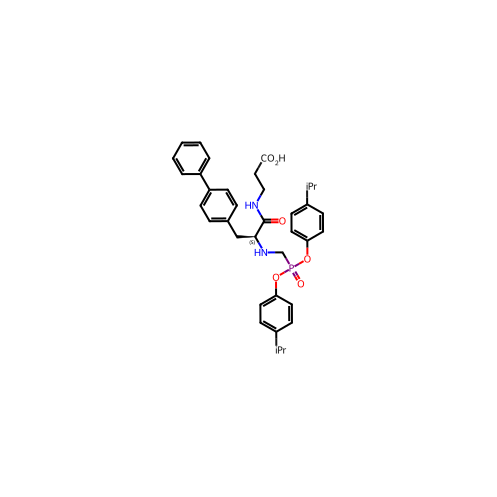 CC(C)c1ccc(OP(=O)(CN[C@@H](Cc2ccc(-c3ccccc3)cc2)C(=O)NCCC(=O)O)Oc2ccc(C(C)C)cc2)cc1